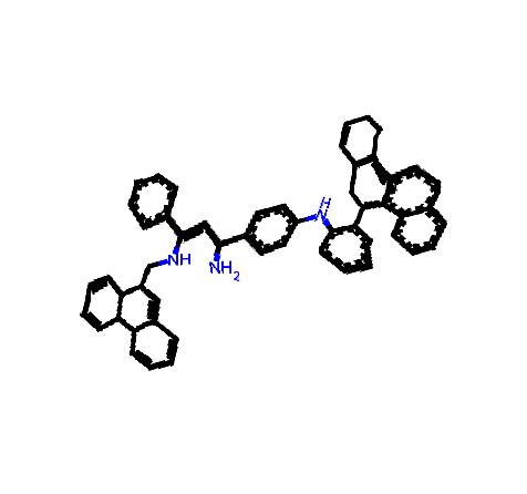 NC(/C=C(\NCC1C=C2C=CC=CC2C2C=CC=CC12)c1ccccc1)c1ccc(Nc2ccccc2C2=c3c(ccc4ccccc34)=C3CCC=CC3C2)cc1